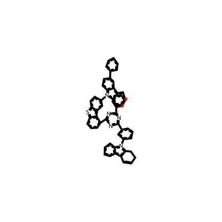 C1=Cc2c(n(-c3cccc(-c4nc(-c5ccccc5)nc(-c5cccc6sc7ccc(-n8c9ccccc9c9cc(-c%10ccccc%10)ccc98)cc7c56)n4)c3)c3ccccc23)CC1